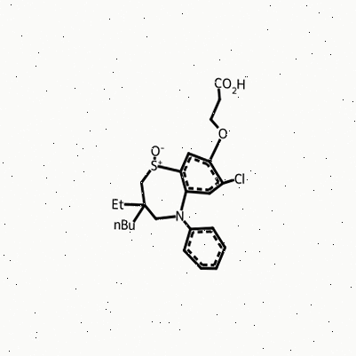 CCCCC1(CC)CN(c2ccccc2)c2cc(Cl)c(OCCC(=O)O)cc2[S+]([O-])C1